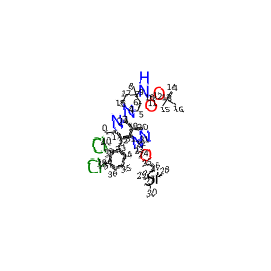 Cc1nc(N2CCC(C)(NC(=O)OC(C)(C)C)CC2)c2cnn(COCC[Si](C)(C)C)c2c1-c1cccc(Cl)c1Cl